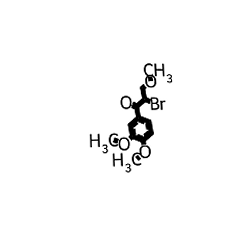 COCC(Br)C(=O)c1ccc(OC)c(OC)c1